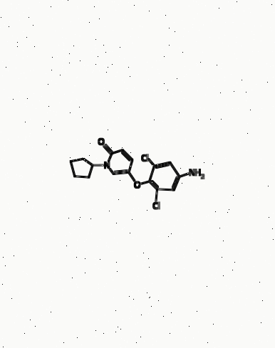 Nc1cc(Cl)c(Oc2ccc(=O)n(C3CCCC3)c2)c(Cl)c1